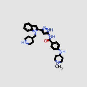 CN1CCC(Nc2ccc(C(=O)Nc3cc(-c4cc5ccccc5n4CC4CCNCC4)n[nH]3)cc2)CC1